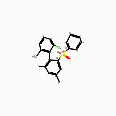 Cc1[c]c(C)c(-c2c(Cl)cccc2C(C)(C)C)c(S(=O)(=O)c2ccccc2)c1